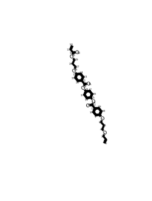 C=CCOCCCOc1ccc(C(=O)Oc2ccc(OC(=O)c3ccc(OCCCOC(=O)C=C)cc3)cc2)cc1